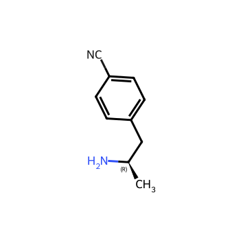 C[C@@H](N)Cc1ccc(C#N)cc1